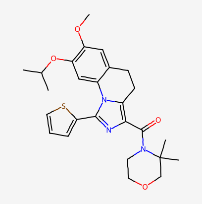 COc1cc2c(cc1OC(C)C)-n1c(-c3cccs3)nc(C(=O)N3CCOCC3(C)C)c1CC2